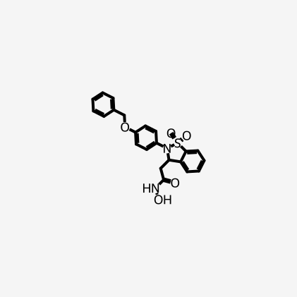 O=C(CC1c2ccccc2S(=O)(=O)N1c1ccc(OCc2ccccc2)cc1)NO